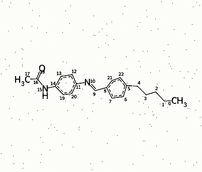 CCCCCc1ccc(/C=N/c2ccc(NC(C)=O)cc2)cc1